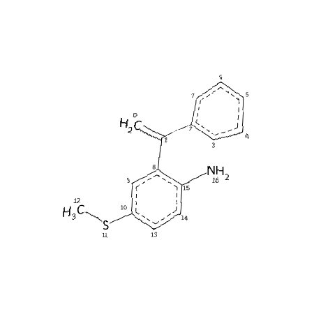 C=C(c1ccccc1)c1cc(SC)ccc1N